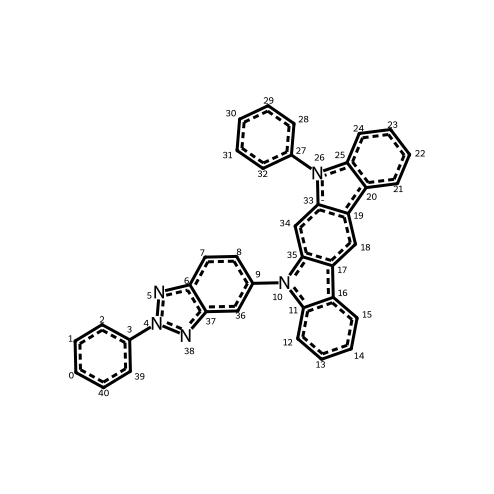 c1ccc(-n2nc3ccc(-n4c5ccccc5c5cc6c7ccccc7n(-c7ccccc7)c6cc54)cc3n2)cc1